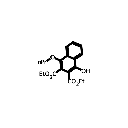 CCCOc1c(C(=O)OCC)c(C(=O)OCC)c(O)c2ccccc12